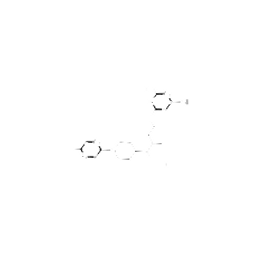 Cc1cnc(N2CCC(C(C)C(C)CCOc3cc(N)nc(C)n3)CC2)cn1